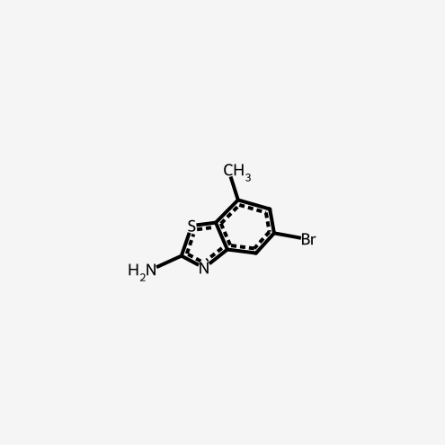 Cc1cc(Br)cc2nc(N)sc12